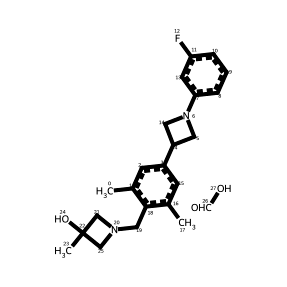 Cc1cc(C2CN(c3cccc(F)c3)C2)cc(C)c1CN1CC(C)(O)C1.O=CO